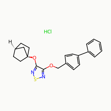 Cl.c1ccc(-c2ccc(COc3nsnc3O[C@]34CC[C@@H](CC3)C4)cc2)cc1